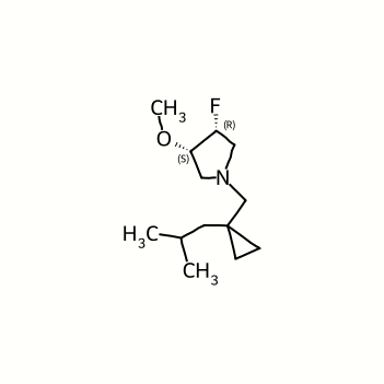 CO[C@H]1CN(CC2(CC(C)C)CC2)C[C@H]1F